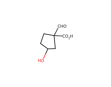 O=CC1(C(=O)O)CCC(O)C1